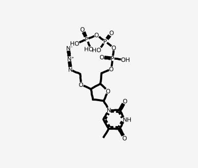 Cc1cn(C2CC(OCN=[N+]=[N-])C(COP(=O)(O)OP(=O)(O)OP(=O)(O)O)O2)c(=O)[nH]c1=O